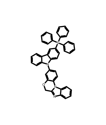 c1ccc([Si](c2ccccc2)(c2ccccc2)c2ccc3c(c2)c2ccccc2n3-c2ccc3c(c2)OCc2nc4ccccc4n2-3)cc1